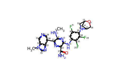 CNc1nc(Nc2cc(F)c(N3CC4CC3CO4)c(F)c2F)c(C(N)=O)nc1-c1cncc2c1ncn2C